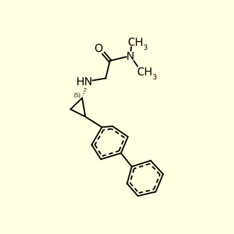 CN(C)C(=O)CN[C@H]1CC1c1ccc(-c2ccccc2)cc1